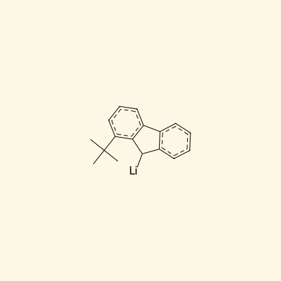 [Li][CH]1c2ccccc2-c2cccc(C(C)(C)C)c21